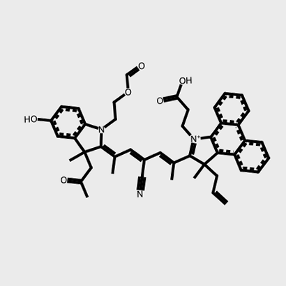 C=CCC1(C)C(/C(C)=C/C(C#N)=C/C(C)=C2\N(CCOC=O)c3ccc(O)cc3C2(C)CC(C)=O)=[N+](CCC(=O)O)c2c1c1ccccc1c1ccccc21